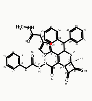 CNC(=O)Cc1csc(C2=C(C(=O)ONC(=O)Cc3ccccc3)N3C(=O)C(=S)[C@@H]3SC2C(c2ccccc2)c2ccccc2)n1